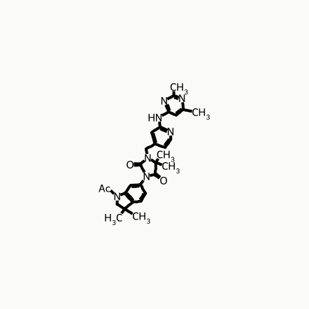 CC(=O)N1CC(C)(C)c2ccc(N3C(=O)N(Cc4ccnc(Nc5cc(C)nc(C)n5)c4)C(C)(C)C3=O)cc21